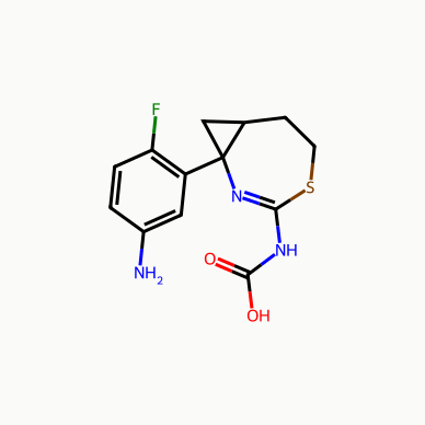 Nc1ccc(F)c(C23CC2CCSC(NC(=O)O)=N3)c1